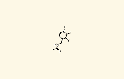 CC(=O)NCc1ccc(F)c(F)c1F